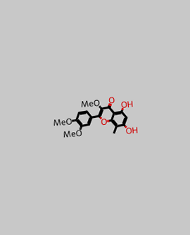 COc1ccc(-c2oc3c(C)c(O)cc(O)c3c(=O)c2OC)cc1OC